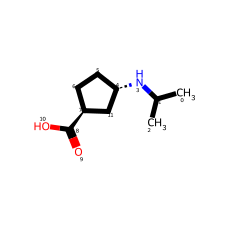 CC(C)N[C@H]1CC[C@H](C(=O)O)C1